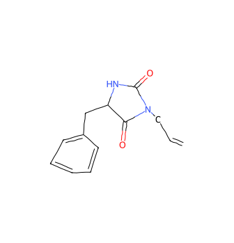 C=CCN1C(=O)NC(Cc2ccccc2)C1=O